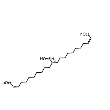 CCCCCCCC/C=C\CCCCCCCCC(CCCCCCCC/C=C\CCCCCCCC)[SiH2]O